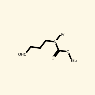 CC(C)N(CCCC=O)C(=O)OC(C)(C)C